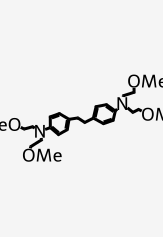 COCCN(CCOC)c1ccc(CCc2ccc(N(CCOC)CCOC)cc2)cc1